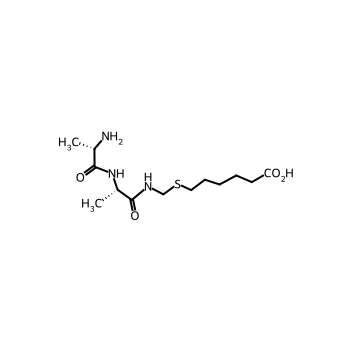 C[C@H](N)C(=O)N[C@@H](C)C(=O)NCSCCCCCC(=O)O